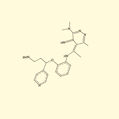 CNCCC(Oc1ccccc1N/C(C)=C1\C(=N)C(N(C)C)=NN=C1C)c1ccncc1